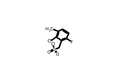 Cc1ccc(F)c(CS(=O)(=O)Cl)c1Cl